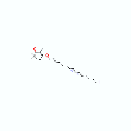 CC1=C(OCCCCCC/C=C/C=C/CCCCCI)CCC(C)(C)C1=O